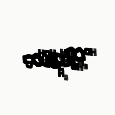 C[C@]12C=CC(O)CC1CC[C@@H]1[C@@H]2[C@@H](O)C[C@@]2(C)[C@H]1C[C@H]1CN(CC3=CC=C4CCCOC4C3)O[C@]12C(O)CO